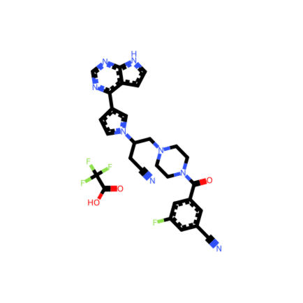 N#CCC(CN1CCN(C(=O)c2cc(F)cc(C#N)c2)CC1)n1ccc(-c2ncnc3[nH]ccc23)c1.O=C(O)C(F)(F)F